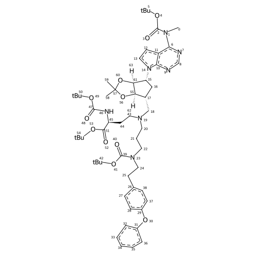 CN(C(=O)OC(C)(C)C)c1ncnc2c1ccn2[C@@H]1C[C@H](CN(CCCN(CCc2ccc(Oc3ccccc3)cc2)C(=O)OC(C)(C)C)CC[C@H](NC(=O)OC(C)(C)C)C(=O)OC(C)(C)C)[C@H]2OC(C)(C)O[C@H]21